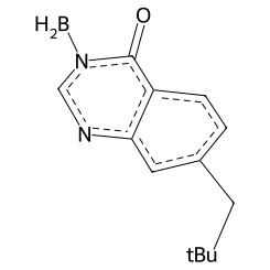 Bn1cnc2cc(CC(C)(C)C)ccc2c1=O